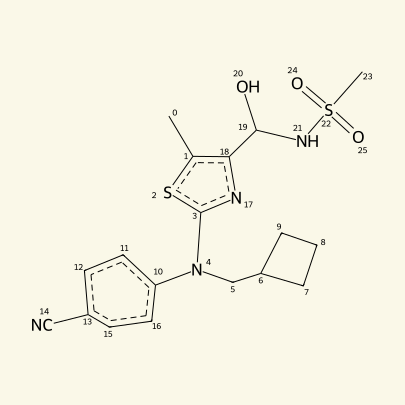 Cc1sc(N(CC2CCC2)c2ccc(C#N)cc2)nc1C(O)NS(C)(=O)=O